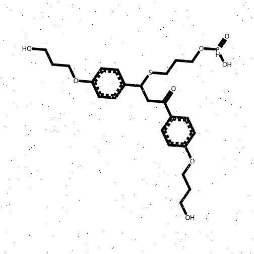 O=C(CC(SCCCO[PH](=O)O)c1ccc(OCCCO)cc1)c1ccc(OCCCO)cc1